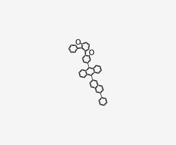 c1ccc(-c2ccc3cc(-c4c5ccccc5c(-c5ccc6c(c5)oc5ccc7oc8ccccc8c7c56)c5ccccc45)ccc3c2)cc1